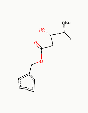 CCCC[C@H](C)[C@@H](O)CC(=O)OCc1ccccc1